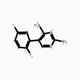 Nc1ncc(-c2cc(I)ccc2F)c(N)n1